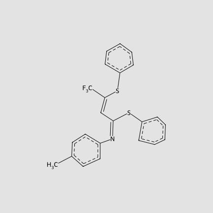 Cc1ccc(N=C(C=C(Sc2ccccc2)C(F)(F)F)Sc2ccccc2)cc1